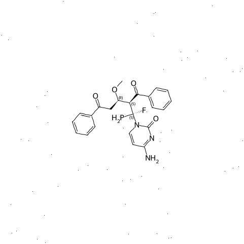 CO[C@H](CC(=O)c1ccccc1)[C@@H](C(=O)c1ccccc1)[C@](F)(P)n1ccc(N)nc1=O